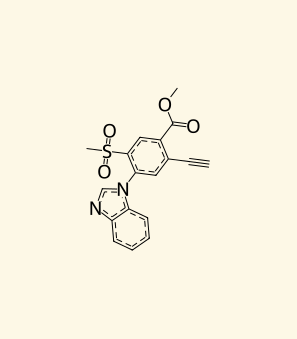 C#Cc1cc(-n2cnc3ccccc32)c(S(C)(=O)=O)cc1C(=O)OC